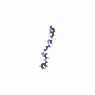 Cc1ccc(CC(=O)Nc2cn(CCCCn3cc(C(=O)NCc4cccnc4)nn3)nn2)cn1